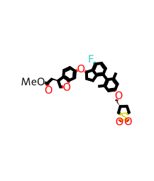 COC(=O)C[C@@H]1COc2cc(OC3CCc4c(-c5c(C)cc(OC[C@@H]6CCS(=O)(=O)C6)cc5C)ccc(F)c43)ccc21